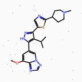 COc1cc(-c2[nH]nc(-c3cnc(C4CCN(C)CC4)s3)c2C(C)C)cn2ncnc12